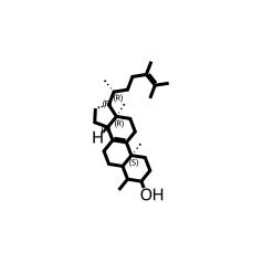 CC(C)=C(C)CC[C@@H](C)[C@H]1CC[C@H]2C3=C(CC[C@]12C)[C@@]1(C)CCC(O)C(C)C1CC3